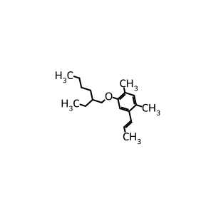 C/C=C/c1cc(OCC(CC)CCCC)c(C)cc1C